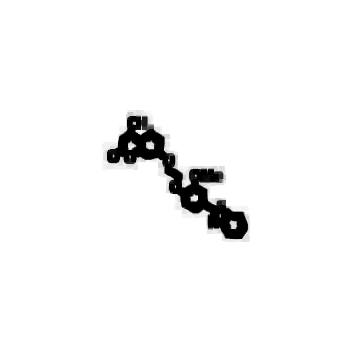 COc1cc(-c2nc3ccccc3s2)ccc1OCCOc1ccc2c(C)cc(=O)oc2c1